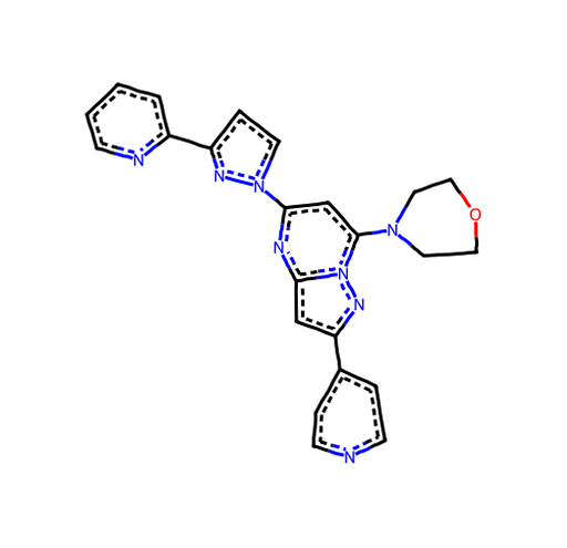 c1ccc(-c2ccn(-c3cc(N4CCOCC4)n4nc(-c5ccncc5)cc4n3)n2)nc1